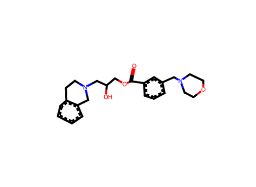 O=C(OCC(O)CN1CCc2ccccc2C1)c1cccc(CN2CCOCC2)c1